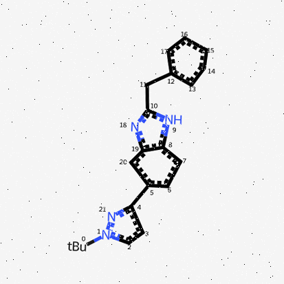 CC(C)(C)n1ccc(-c2ccc3[nH]c(Cc4ccccc4)nc3c2)n1